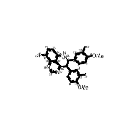 COc1ccc(C(N)C(c2ccc(OC)c(C)c2)c2ncnc3c(F)ccc(F)c23)cc1C